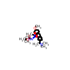 C=C(c1ccc2c(c1)C1(N=C(NC(=O)OC(C)(C)C)N(C)C1=O)C1(CCC(OC)CC1)C2)N(C)C